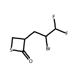 O=C1SCC1C[C](Br)C(F)F